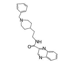 O=C(NCCC1CCN(Cc2ccccc2)CC1)c1cnc2ccccc2n1